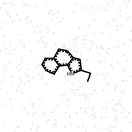 CCc1cc2ccc3ccccc3c2[nH]1